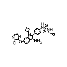 Nc1c(-c2ccc(NS(=O)(=O)NCC3CC3)cc2)n(C2CCC2)c2cc(Oc3nccnc3Cl)ccc12